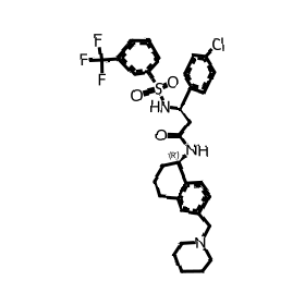 O=C(CC(NS(=O)(=O)c1cccc(C(F)(F)F)c1)c1ccc(Cl)cc1)N[C@@H]1CCCc2cc(CN3CCCCC3)ccc21